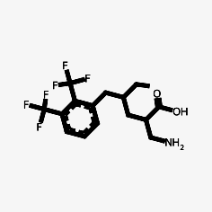 CCC(Cc1cccc(C(F)(F)F)c1C(F)(F)F)CC(CN)C(=O)O